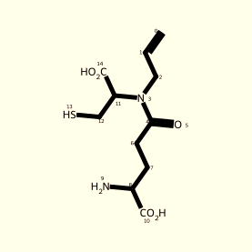 C=CCN(C(=O)CCC(N)C(=O)O)C(CS)C(=O)O